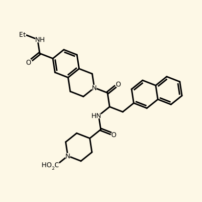 CCNC(=O)c1ccc2c(c1)CCN(C(=O)C(Cc1ccc3ccccc3c1)NC(=O)C1CCN(C(=O)O)CC1)C2